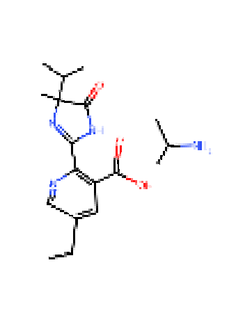 CC(C)N.CCc1cnc(C2=NC(C)(C(C)C)C(=O)N2)c(C(=O)O)c1